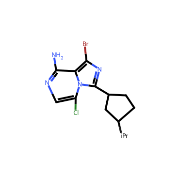 CC(C)C1CCC(c2nc(Br)c3c(N)ncc(Cl)n23)C1